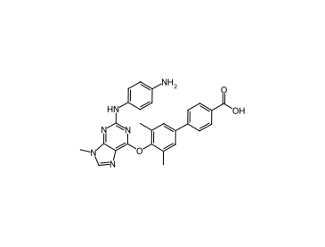 Cc1cc(-c2ccc(C(=O)O)cc2)cc(C)c1Oc1nc(Nc2ccc(N)cc2)nc2c1ncn2C